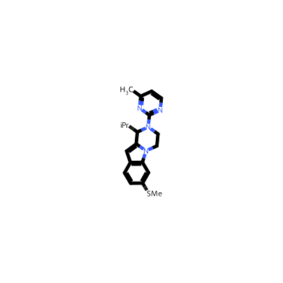 CSc1ccc2cc3n(c2c1)CCN(c1nccc(C)n1)C3C(C)C